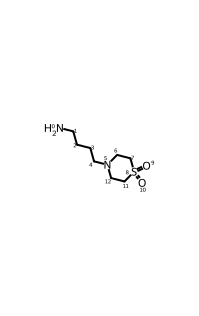 NCCCCN1CCS(=O)(=O)CC1